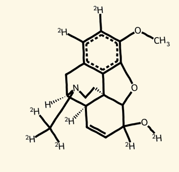 [2H]OC1([2H])C=C[C@@]2([2H])[C@H]3Cc4c([2H])c([2H])c(OC)c5c4[C@@]2(CCN3C([2H])([2H])[2H])C1O5